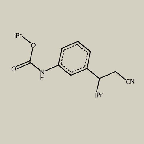 CC(C)OC(=O)Nc1cccc(C(CC#N)C(C)C)c1